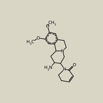 COc1cc2c(cc1OC)C1CC(N)C(N3CCC=CC3=O)CN1CC2